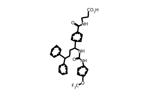 O=C(O)CCNC(=O)c1ccc(C(CCC(c2ccccc2)c2ccccc2)NC(=O)Nc2ccc(OC(F)(F)F)cc2)cc1